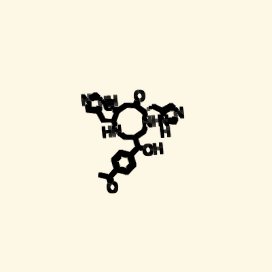 CC(=O)c1ccc(C(O)C2CN[C@@H](Cc3cnc[nH]3)C(=O)CC(=O)[C@H](Cc3cnc[nH]3)NC2)cc1